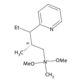 CCC(c1ccccn1)[C@@H](C)C[N+](C)(OC)OC